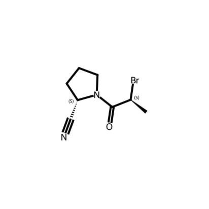 C[C@H](Br)C(=O)N1CCC[C@H]1C#N